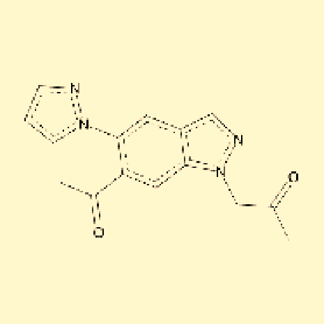 CC(=O)Cn1ncc2cc(-n3cccn3)c(C(C)=O)cc21